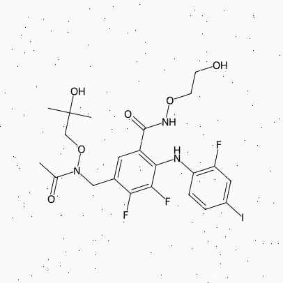 CC(=O)N(Cc1cc(C(=O)NOCCO)c(Nc2ccc(I)cc2F)c(F)c1F)OCC(C)(C)O